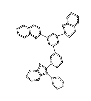 c1ccc(-n2c(-c3cccc(-c4cc(-c5ccc6ccccc6n5)cc(-c5ccc6ccccc6n5)c4)c3)nc3ccccc32)cc1